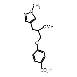 COC(COc1ccc(C(=O)O)cc1)Cc1cnn(C)c1